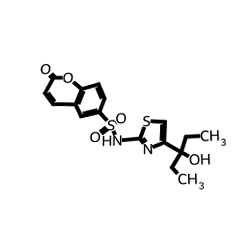 CCC(O)(CC)c1csc(NS(=O)(=O)c2ccc3oc(=O)ccc3c2)n1